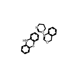 C1=NCCCO1.C1=Nc2ccccc2CO1.c1ccc2c(c1)Nc1ccccc1S2